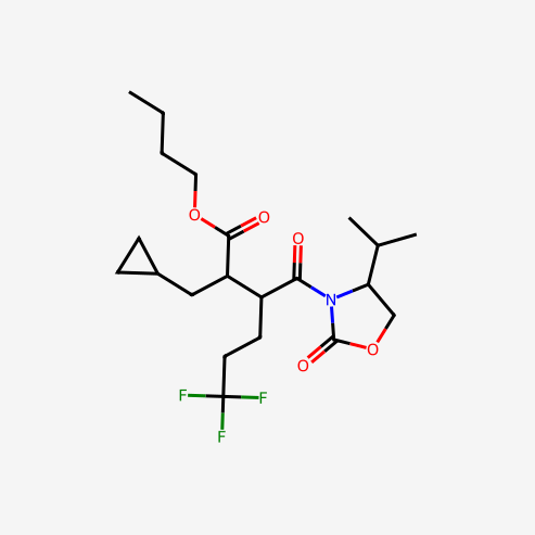 CCCCOC(=O)C(CC1CC1)C(CCC(F)(F)F)C(=O)N1C(=O)OCC1C(C)C